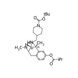 CC(C)C(=O)Oc1ccc2c(c1)[C@@]1(C)CCN(C)C(C2)[C@@H]1NCC1CCN(C(=O)OC(C)(C)C)CC1